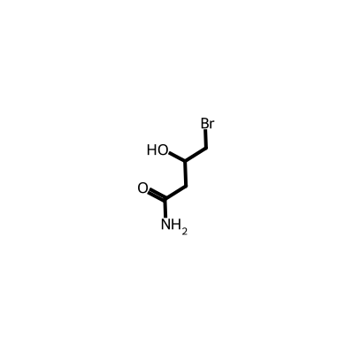 NC(=O)CC(O)CBr